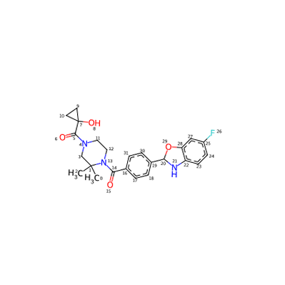 CC1(C)CN(C(=O)C2(O)CC2)CCN1C(=O)c1ccc(C2Nc3ccc(F)cc3O2)cc1